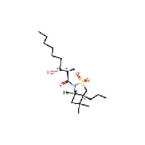 CCCCCC[C@@H](O)[C@@H](C)C(=O)N1[C@H]2CC(C)(C)[C@@]2(CCC)CS1(=O)=O